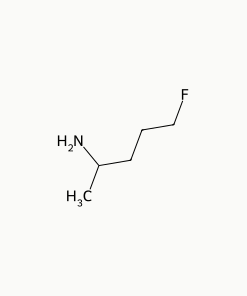 CC(N)CCCF